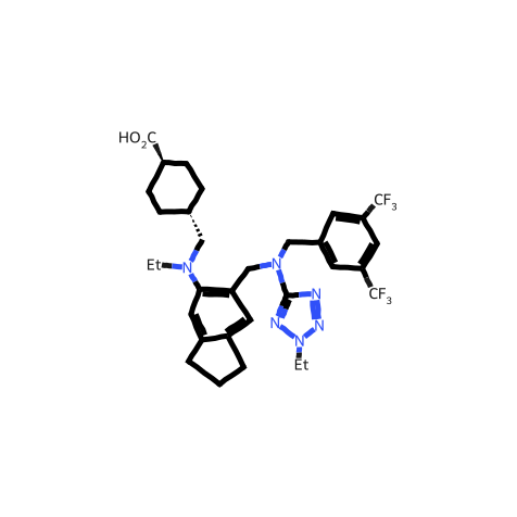 CCN(C[C@H]1CC[C@H](C(=O)O)CC1)c1cc2c(cc1CN(Cc1cc(C(F)(F)F)cc(C(F)(F)F)c1)c1nnn(CC)n1)CCC2